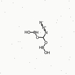 [N-]=[N+]=NC(OBO)OBO